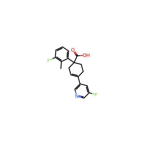 Cc1c(F)cccc1C1(C(=O)O)CC=C(c2cncc(F)c2)CC1